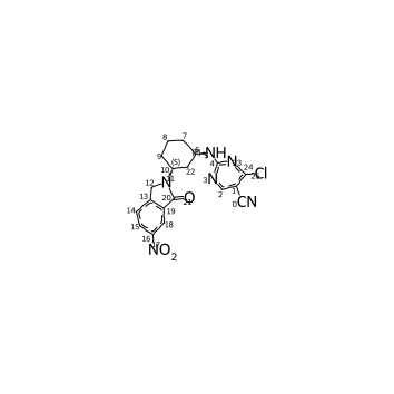 N#Cc1cnc(N[C@@H]2CCC[C@H](N3Cc4ccc([N+](=O)[O-])cc4C3=O)C2)nc1Cl